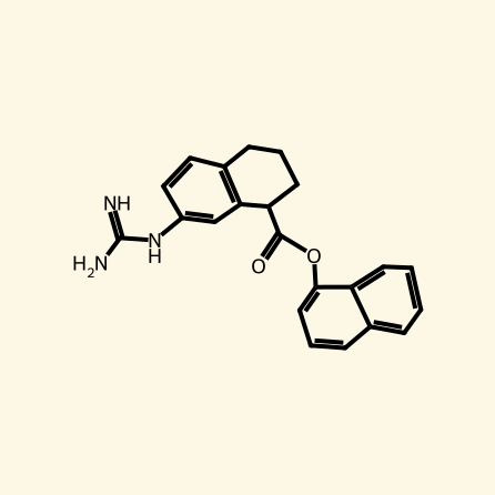 N=C(N)Nc1ccc2c(c1)C(C(=O)Oc1cccc3ccccc13)CCC2